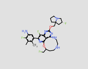 Cc1c(F)c(N)cc(-c2nc3c4c(nc(OCC56CCCN5C[C@H](F)C6)nc4c2F)NCCNCCC(CF)O3)c1C(F)(F)F